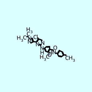 CCc1ccc(NC(=O)c2ccc(Nc3ncc(Cl)c(-c4cnn(C(C)C)c4)n3)cc2OC)cc1